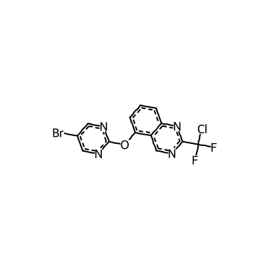 FC(F)(Cl)c1ncc2c(Oc3ncc(Br)cn3)cccc2n1